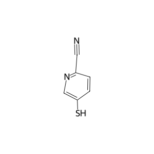 N#Cc1ccc(S)cn1